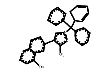 Oc1ccnc2ccc(-c3cn(C(c4ccccc4)(c4ccccc4)C4C=CC=CC4)nc3C(F)(F)F)cc12